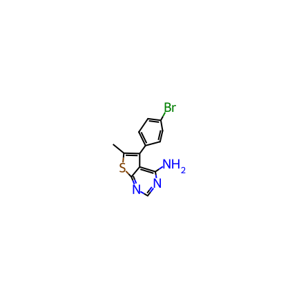 Cc1sc2ncnc(N)c2c1-c1ccc(Br)cc1